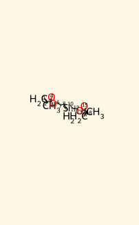 C=C(C)C(=O)OCCC[SiH2]CCCOC(=O)C(=C)C